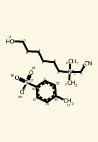 C[N+](C)(CC#N)CCCCCCO.Cc1ccc(S(=O)(=O)[O-])cc1